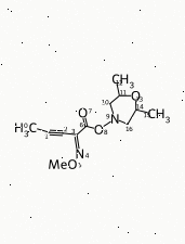 CC#CC(=NOC)C(=O)ON1CC(C)OC(C)C1